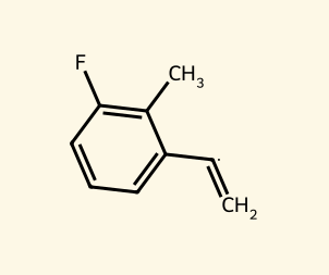 C=[C]c1cccc(F)c1C